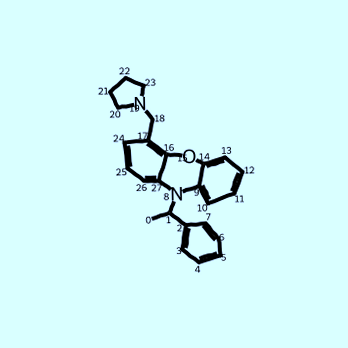 CC(c1ccccc1)N1c2ccccc2Oc2c(CN3CCCC3)cccc21